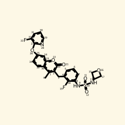 Cc1c(Cc2cccc(NS(=O)(=O)NC3COC3)c2F)c(=O)oc2cc(Oc3ncccc3F)ccc12